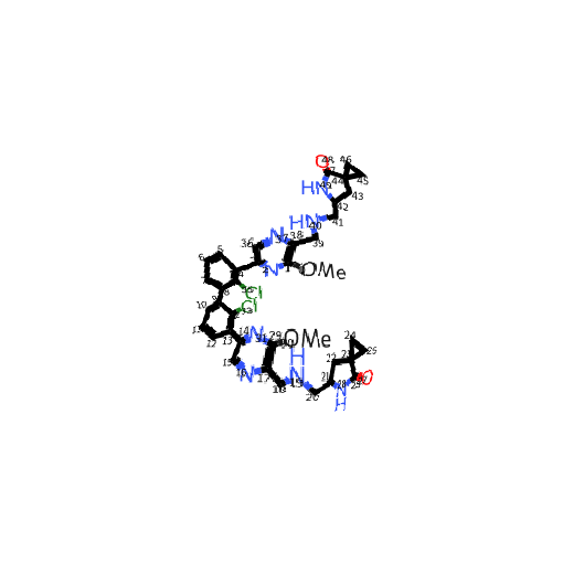 COc1nc(-c2cccc(-c3cccc(-c4cnc(CNCC5CC6(CC6)C(=O)N5)c(OC)n4)c3Cl)c2Cl)cnc1CNCC1CC2(CC2)C(=O)N1